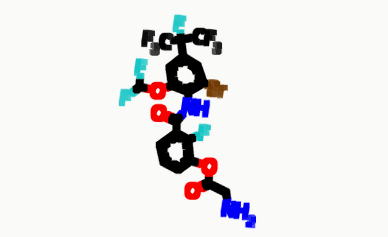 NCC(=O)Oc1cccc(C(=O)Nc2c(Br)cc(C(F)(C(F)(F)F)C(F)(F)F)cc2OC(F)F)c1F